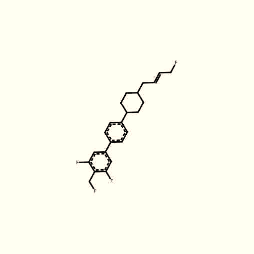 FC/C=C/CC1CCC(c2ccc(-c3cc(F)c(CF)c(F)c3)cc2)CC1